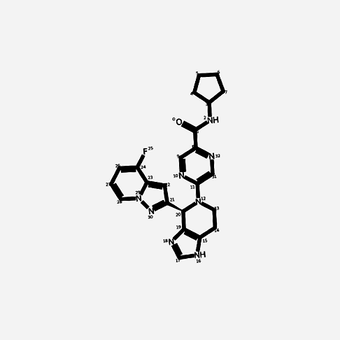 O=C(NC1CCCC1)c1cnc(N2CCc3[nH]cnc3[C@H]2c2cc3c(F)cccn3n2)cn1